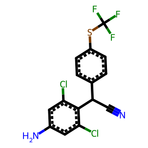 N#CC(c1ccc(SC(F)(F)F)cc1)c1c(Cl)cc(N)cc1Cl